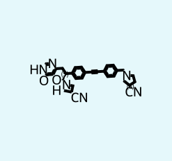 N#CC1CN(C[C@@H](Cc2nc[nH]c(=O)c2O)c2ccc(C#Cc3ccc(CN4CC[C@H](C#N)C4)cc3)cc2)C1